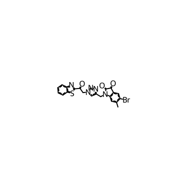 Cc1cc2c(cc1Br)C(=O)C(=O)N2Cc1cn(CC(=O)c2nc3ccccc3s2)nn1